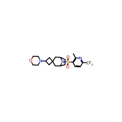 Cc1nc(C(F)(F)F)ccc1S(=O)(=O)N1C2CCC1CC1(CC(N3CCOCC3)C1)C2